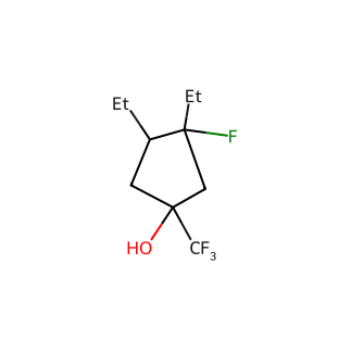 CCC1CC(O)(C(F)(F)F)CC1(F)CC